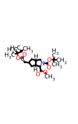 COC(=O)C1[C@H]2CC(CB3OC(C)(C)C(C)(C)O3)C[C@H]2CN1C(=O)OC(C)(C)C